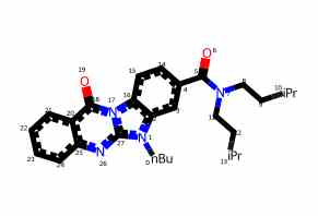 CCCCn1c2cc(C(=O)N(CCC(C)C)CCC(C)C)ccc2n2c(=O)c3ccccc3nc12